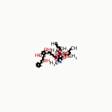 C#CCCC(C)(C)OC(=O)OCc1cnc(C)c(OC(=O)CCC/C=C\C[C@@H]2[C@@H](CC[C@@H](O)CCc3ccccc3)[C@H](O)C[C@@H]2O)c1COC(=O)OC(C)(C)CCC#C